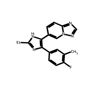 CCc1nc(-c2ccc(F)c(C)c2)c(-c2ccc3ncnn3c2)[nH]1